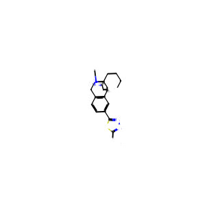 Cc1nnc(-c2ccc3c(c2)[C@]24CCCCC2[C@H](C3)N(C)CC4)s1